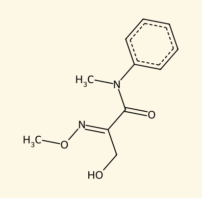 CON=C(CO)C(=O)N(C)c1ccccc1